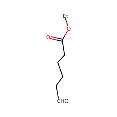 CCOC(=O)CCCC[C]=O